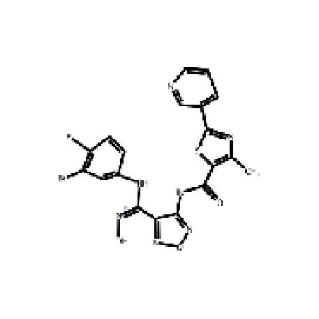 Cc1nc(-c2cccnc2)sc1C(=O)Nc1nonc1/C(=N\O)Nc1ccc(F)c(Br)c1